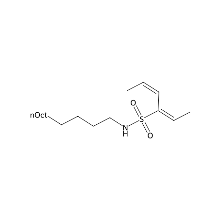 C/C=C\C(=C/C)S(=O)(=O)NCCCCCCCCCCCC